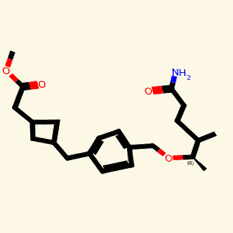 COC(=O)CC1CC(Cc2ccc(CO[C@H](C)C(C)CCC(N)=O)cc2)C1